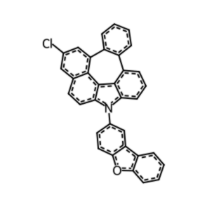 Clc1cc2c3c(ccc4c3c3c(cccc3n4-c3ccc4oc5ccccc5c4c3)-c3ccccc3-2)c1